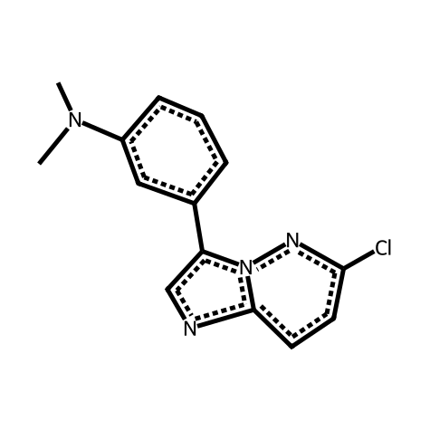 CN(C)c1cccc(-c2cnc3ccc(Cl)nn23)c1